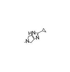 CN1Cc2nc(C3CC3)[nH]c2C1